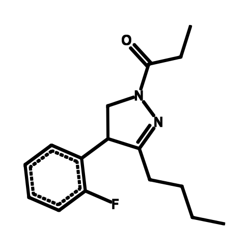 CCCCC1=NN(C(=O)CC)CC1c1ccccc1F